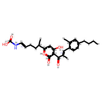 CCCCc1ccc(/C=C(\C)C(=O)c2c(O)cc(C(C)CC/C=C/NC(=O)O)oc2=O)c(C)c1